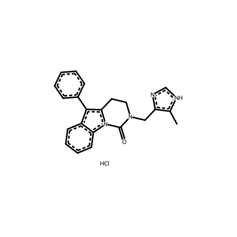 Cc1[nH]cnc1CN1CCc2c(-c3ccccc3)c3ccccc3n2C1=O.Cl